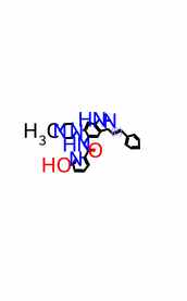 CN1CCN(c2cc3[nH]nc(/C=C/c4ccccc4)c3cc2NC(=O)c2cccc(O)n2)CC1